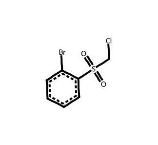 O=S(=O)(CCl)c1ccccc1Br